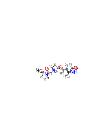 N#CC1CCCN1C(=O)CN1CC[C@H](Oc2cccc3c2CCC(=O)N3)C1